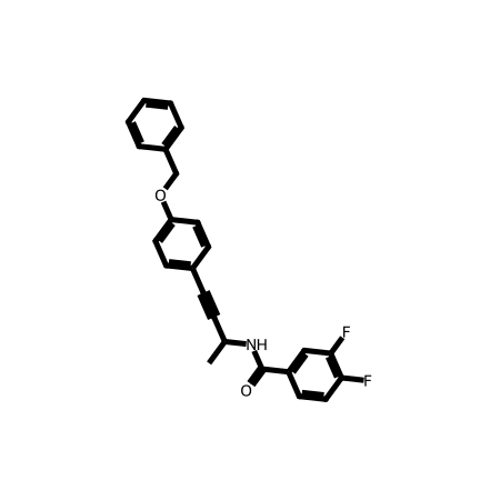 CC(C#Cc1ccc(OCc2ccccc2)cc1)NC(=O)c1ccc(F)c(F)c1